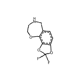 FC1(F)Oc2ccc3c(c2O1)OCCNC3